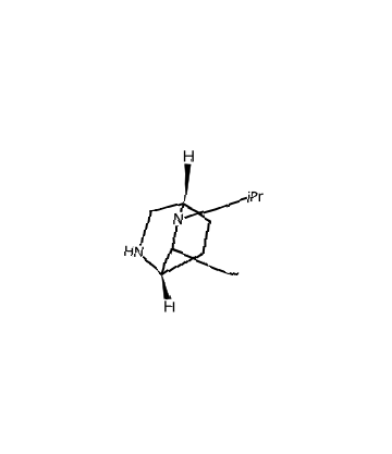 CC(C)N1C(C)[C@@H]2CC[C@H]1CN2